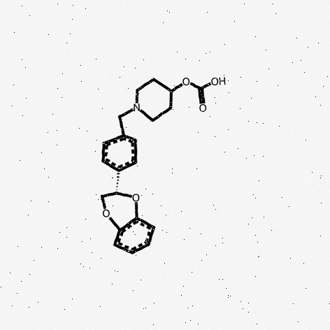 O=C(O)OC1CCN(Cc2ccc([C@H]3COc4ccccc4O3)cc2)CC1